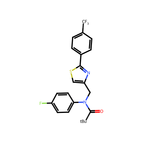 CC(C)(C)C(=O)N(Cc1csc(-c2ccc(C(F)(F)F)cc2)n1)c1ccc(F)cc1